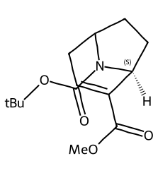 COC(=O)C1=CCC2CC[C@@H]1N2C(=O)OC(C)(C)C